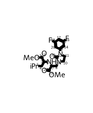 COC(=O)C(CC(C)C)NC(CN1CCN(c2cc(F)cc(F)c2)C1=O)C(=O)OC